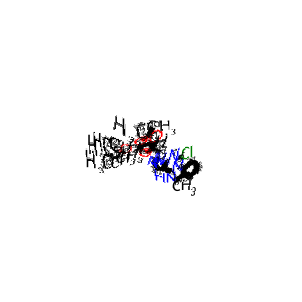 C[C@H](Nc1nc(Cl)nc2c1cnn2C[C@H]1O[C@H](CO[Si](C)(C)C(C)(C)C)[C@H]2OC(C)(C)O[C@H]21)c1ccccc1